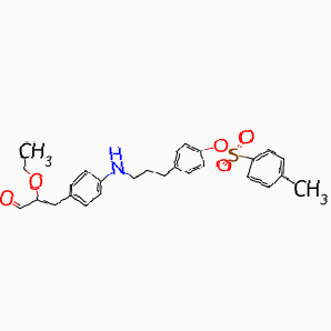 CCOC(C=O)Cc1ccc(NCCCc2ccc(OS(=O)(=O)c3ccc(C)cc3)cc2)cc1